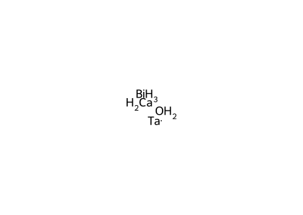 O.[BiH3].[CaH2].[Ta]